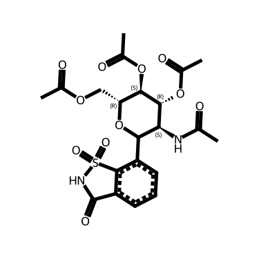 CC(=O)N[C@H]1C(c2cccc3c2S(=O)(=O)NC3=O)O[C@H](COC(C)=O)[C@@H](OC(C)=O)[C@@H]1OC(C)=O